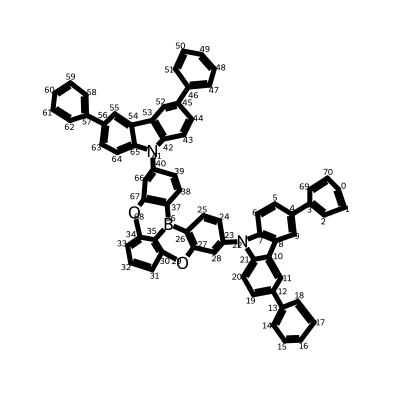 c1ccc(-c2ccc3c(c2)c2cc(-c4ccccc4)ccc2n3-c2ccc3c(c2)Oc2cccc4c2B3c2ccc(-n3c5ccc(-c6ccccc6)cc5c5cc(-c6ccccc6)ccc53)cc2O4)cc1